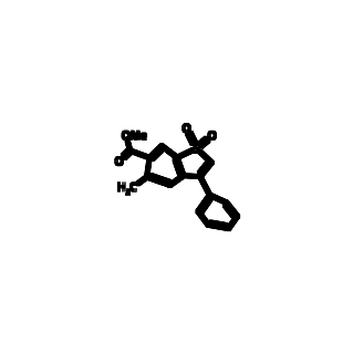 COC(=O)c1cc2c(cc1C)C(c1ccccc1)=CS2(=O)=O